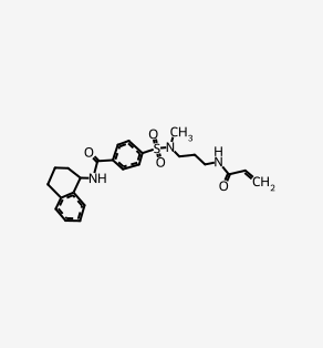 C=CC(=O)NCCCN(C)S(=O)(=O)c1ccc(C(=O)NC2CCCc3ccccc32)cc1